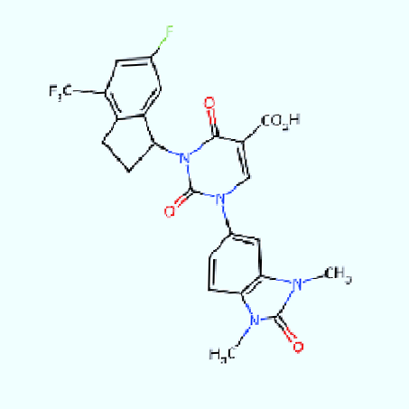 Cn1c(=O)n(C)c2cc(-n3cc(C(=O)O)c(=O)n(C4CCc5c4cc(F)cc5C(F)(F)F)c3=O)ccc21